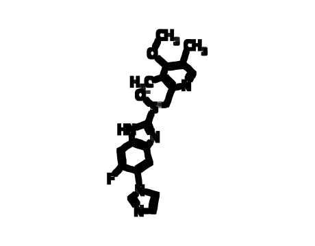 COc1c(C)cnc(C[S+]([O-])c2nc3cc(-n4ccnc4)c(F)cc3[nH]2)c1C